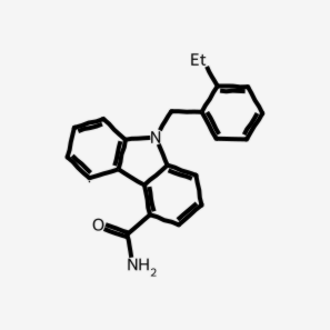 CCc1ccccc1Cn1c2ccc[c]c2c2c(C(N)=O)cccc21